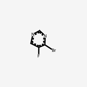 Fc1cn[c]nc1Br